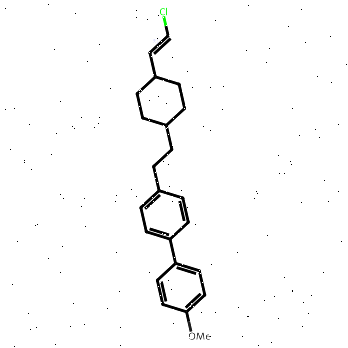 COc1ccc(-c2ccc(CCC3CCC(/C=C/Cl)CC3)cc2)cc1